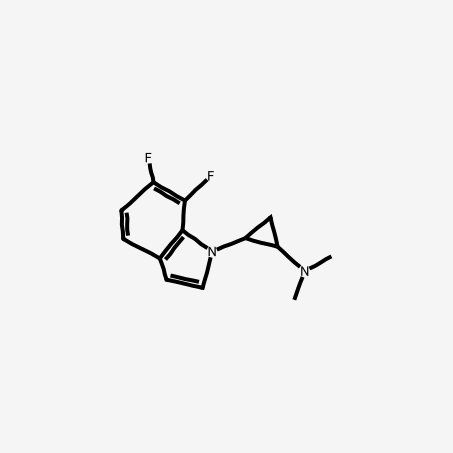 CN(C)C1CC1n1ccc2ccc(F)c(F)c21